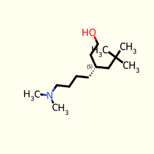 CN(C)CCCC[C@H](CCO)CC(C)(C)C